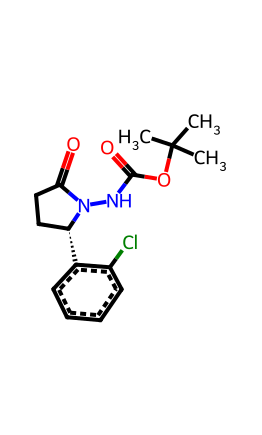 CC(C)(C)OC(=O)NN1C(=O)CC[C@H]1c1ccccc1Cl